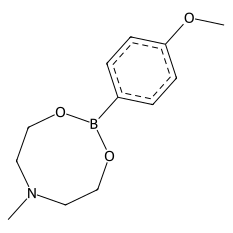 COc1ccc(B2OCCN(C)CCO2)cc1